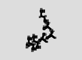 CC(=O)[O-].CC(=O)[O-].CC(=O)[O-].OCCO.OCCO.OCCO.[Fe+3]